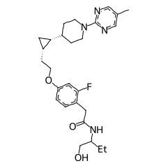 CCC(CO)NC(=O)Cc1ccc(OCC[C@@H]2C[C@@H]2C2CCN(c3ncc(C)cn3)CC2)cc1F